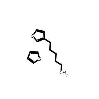 CCCCCCc1ccsc1.c1ccsc1